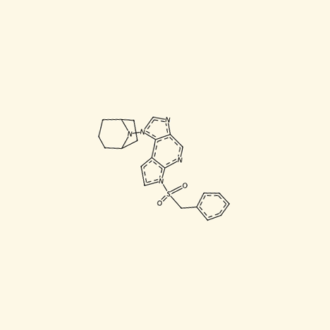 O=S(=O)(Cc1ccccc1)n1ccc2c3c(cnc21)ncn3N1C2CCCC1CC2